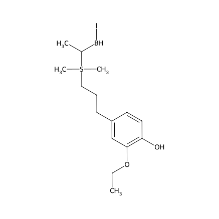 CCOc1cc(CCCS(C)(C)C(C)BI)ccc1O